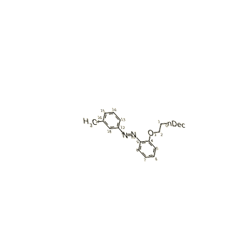 CCCCCCCCCCCCOc1ccccc1N=Nc1cccc(C)c1